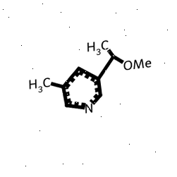 COC(C)c1cncc(C)c1